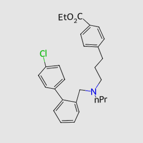 CCCN(CCCc1ccc(C(=O)OCC)cc1)Cc1ccccc1-c1ccc(Cl)cc1